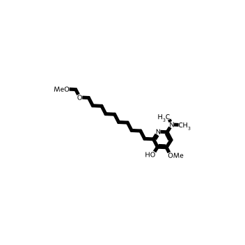 COCOCCCCCCCCCCc1nc(N(C)C)cc(OC)c1O